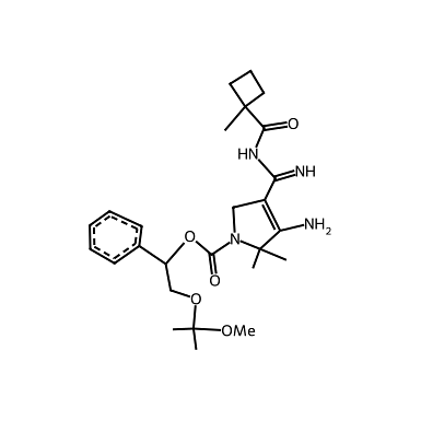 COC(C)(C)OCC(OC(=O)N1CC(C(=N)NC(=O)C2(C)CCC2)=C(N)C1(C)C)c1ccccc1